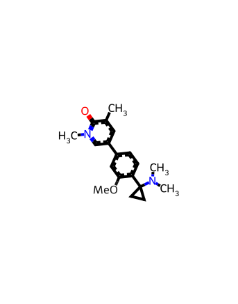 COc1cc(-c2cc(C)c(=O)n(C)c2)ccc1C1(N(C)C)CC1